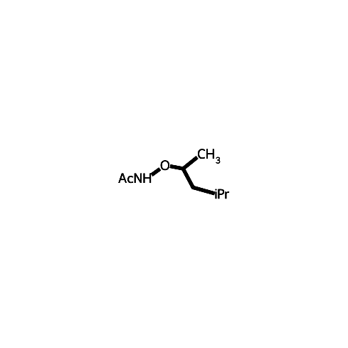 CC(=O)NOC(C)CC(C)C